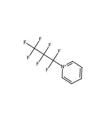 FC(F)(F)C(F)(F)C(F)(F)[n+]1ccccc1